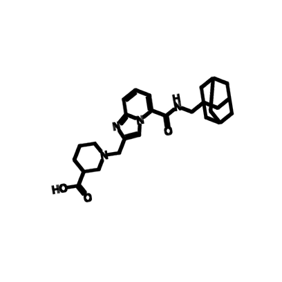 O=C(NCC12CC3CC(CC(C3)C1)C2)c1cccc2nc(CN3CCCC(C(=O)O)C3)cn12